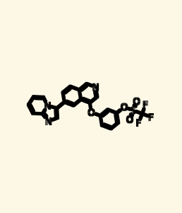 O=S(=O)(Oc1cccc(Oc2cncc3ccc(-c4cnc5ccccn45)cc23)c1)C(F)(F)F